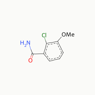 COc1cccc(C(N)=O)c1Cl